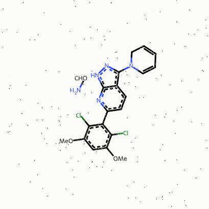 COc1cc(OC)c(Cl)c(-c2ccc3c(N4C=CC=CC4)n[nH]c3n2)c1Cl.NC=O